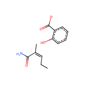 CCC=C(C)C(N)=O.[O]C(=O)c1ccccc1O